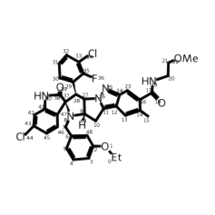 CCOc1cccc(CN2[C@H]3Cc4c5cc(C)c(C(=O)NCCOC)cc5nn4C3[C@H](c3cccc(Cl)c3F)[C@]23C(=O)Nc2cc(Cl)ccc23)c1